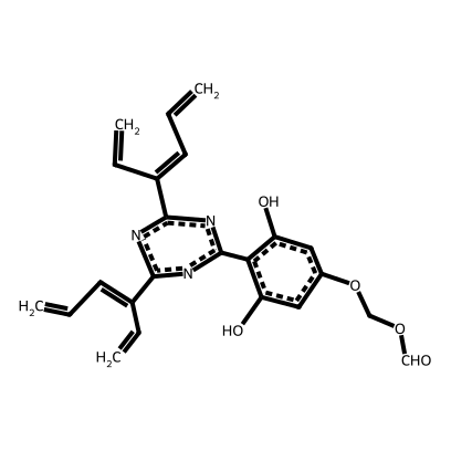 C=C/C=C(\C=C)c1nc(/C(C=C)=C/C=C)nc(-c2c(O)cc(OCOC=O)cc2O)n1